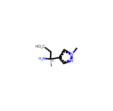 Cn1cc([C@@](C)(N)CC(=O)O)cn1